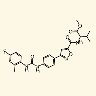 COC(=O)C(NC(=O)c1cc(-c2ccc(NC(=O)Nc3ccc(F)cc3C)cc2)no1)C(C)C